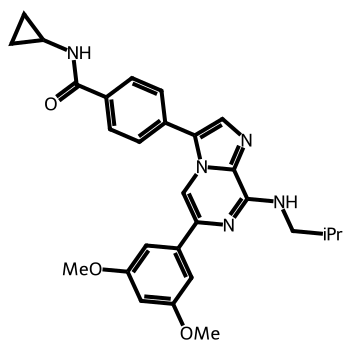 COc1cc(OC)cc(-c2cn3c(-c4ccc(C(=O)NC5CC5)cc4)cnc3c(NCC(C)C)n2)c1